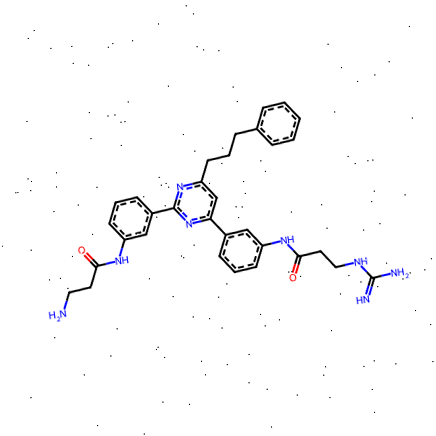 N=C(N)NCCC(=O)Nc1cccc(-c2cc(CCCc3ccccc3)nc(-c3cccc(NC(=O)CCN)c3)n2)c1